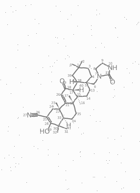 CC1(C)CC[C@]2(CN3CCNC3=O)CC[C@]3(C)[C@H](C(=O)C=C4[C@@]5(C)CC(C#N)=C(O)C(C)(C)[C@@H]5CC[C@]43C)[C@@H]2C1